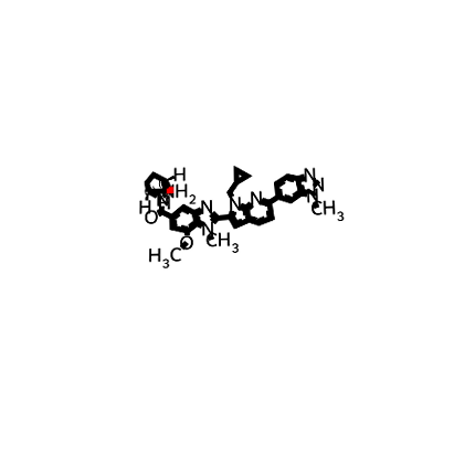 COc1cc(C(=O)N2C[C@H]3CC[C@@H]2[C@@H]3N)cc2nc(-c3cc4ccc(-c5ccc6nnn(C)c6c5)nc4n3CC3CC3)n(C)c12